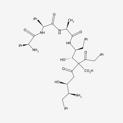 CC(C)CC(=O)C(C(=O)O)(C(=O)C[C@H](O)[C@@H](N)CC(C)C)[C@H](O)[C@H](CC(C)C)NC(=O)[C@H](C)NC(=O)[C@@H](NC(=O)[C@@H](N)C(C)C)C(C)C